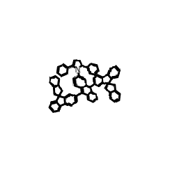 C1=C(c2ccccc2)N(c2ccc3c(-c4ccc5c(c4)C4(Cc6ccccc6C4)c4ccccc4-5)c4ccccc4c(-c4ccc5c(c4)C4(Cc6ccccc6C4)c4ccccc4-5)c3c2)C(c2ccccc2)C1